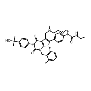 CCNC(=O)Nc1ccc(-c2sc3c(c2CN(C)CCOC)c(=O)n(-c2ccc(C(C)(C)O)cc2)c(=O)n3Cc2c(F)cccc2F)cc1